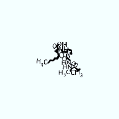 CCCCC/C=C\C1C[C@]1(NC(=O)C1CCCN1C(=O)CNC(=O)N[C@H](C(=O)C1CC1)C(C)C)C(=O)O